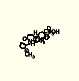 COc1ccccc1CN1C(=O)C=C[C@]2(C)[C@H]3CC[C@]4(C)[C@@H](C(=O)O)CC[C@H]4[C@@H]3CC[C@@H]12